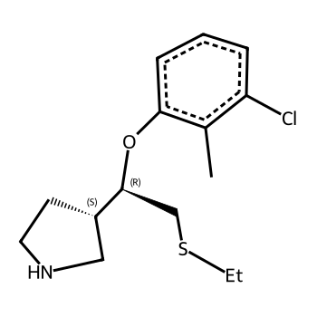 CCSC[C@H](Oc1cccc(Cl)c1C)[C@H]1CCNC1